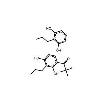 CCCc1c(O)ccc(C(=O)C(C)(F)F)c1O.CCCc1c(O)cccc1O